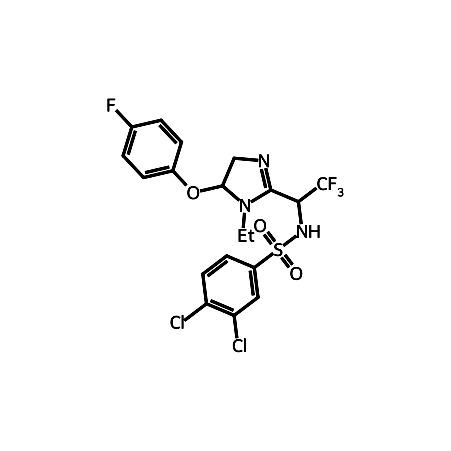 CCN1C(C(NS(=O)(=O)c2ccc(Cl)c(Cl)c2)C(F)(F)F)=NCC1Oc1ccc(F)cc1